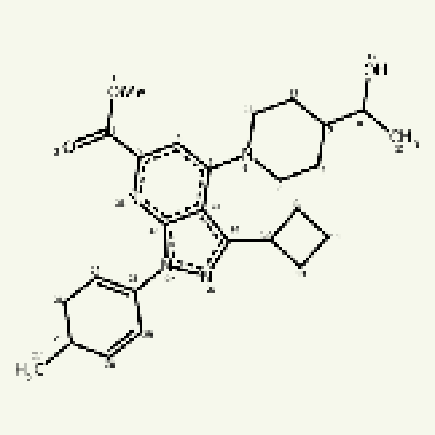 COC(=O)c1cc(N2CCC(C(C)O)CC2)c2c(C3CCC3)nn(C3=CCC(C)C=C3)c2n1